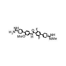 CNC(=N)N1CC=C(c2cc(F)c(C(=O)Nc3ccc(C4=CCN(C(=N)N)CC4)c(OC)c3)cc2F)CC1